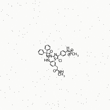 CNC(=O)Cc1ccc(NCCC(C(=O)Nc2nc(-c3ccc(NS(C)(=O)=O)cc3)c(Cl)s2)(c2ccccc2)c2ccccc2)cc1